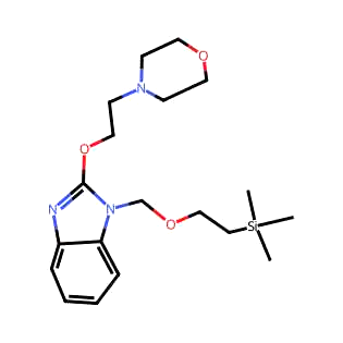 C[Si](C)(C)CCOCn1c(OCCN2CCOCC2)nc2ccccc21